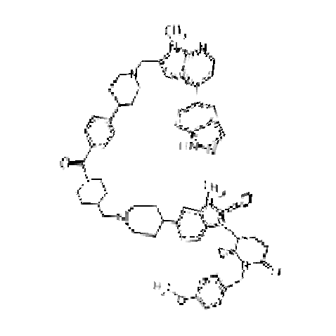 COc1ccc(CN2C(=O)CCC(n3c(=O)n(C)c4cc(C5CCN(CC6CCN(C(=O)c7ccc(C8CCN(Cc9cc%10c(-c%11ccc%12[nH]ncc%12c%11)ccnc%10n9C)CC8)cc7)CC6)CC5)ccc43)C2=O)cc1